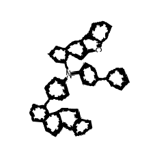 c1ccc(-c2ccc(N(c3ccc(-c4cccc5ccc6c7ccccc7ccc6c45)cc3)c3cccc4cc5c(cc34)oc3ccccc35)cc2)cc1